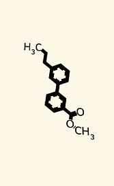 CCCc1cccc(-c2cccc(C(=O)OC)c2)c1